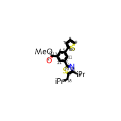 COC(=O)c1cc(-c2cccs2)cc(-c2nc(C(C)C)c(CC(C)C)s2)c1